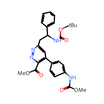 COC(=O)Nc1ccc(-c2cc(CC(NC(=O)OC(C)(C)C)c3ccccc3)nnc2C(=O)OC)cc1